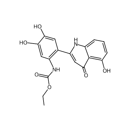 CCOC(=O)Nc1cc(O)c(O)cc1-c1cc(=O)c2c(O)cccc2[nH]1